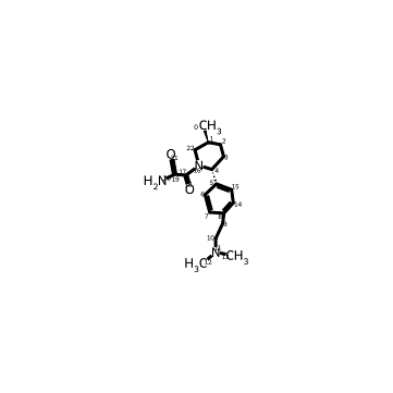 C[C@H]1CC[C@H](c2ccc(CCN(C)C)cc2)N(C(=O)C(N)=O)C1